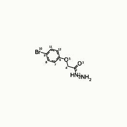 NNC(=O)COc1ccc(Br)cc1